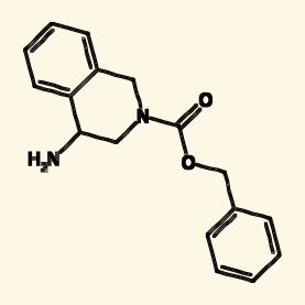 NC1CN(C(=O)OCc2ccccc2)Cc2ccccc21